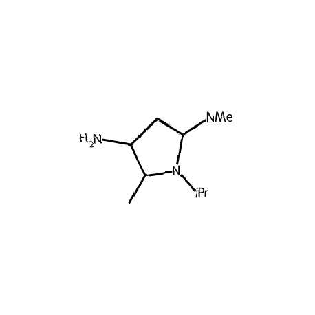 CNC1CC(N)C(C)N1C(C)C